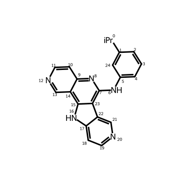 CC(C)c1cccc(Nc2nc3ccncc3c3[nH]c4ccncc4c23)c1